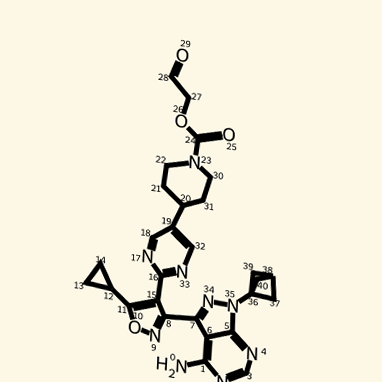 Nc1ncnc2c1c(-c1noc(C3CC3)c1-c1ncc(C3CCN(C(=O)OCC=O)CC3)cn1)nn2C12CC(C1)C2